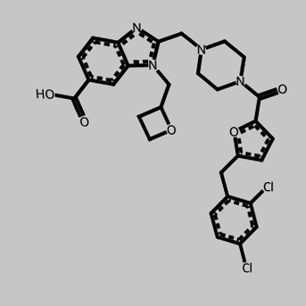 O=C(O)c1ccc2nc(CN3CCN(C(=O)c4ccc(Cc5ccc(Cl)cc5Cl)o4)CC3)n(CC3CCO3)c2c1